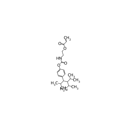 C=CC(=O)OCCNC(=O)Oc1ccc(C(C(C)C)C(C(C)C)C(C)C)cc1